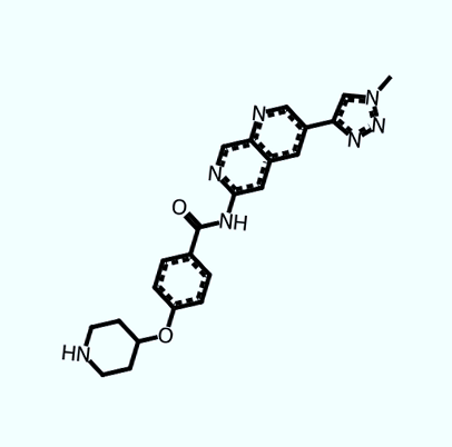 Cn1cc(-c2cnc3cnc(NC(=O)c4ccc(OC5CCNCC5)cc4)cc3c2)nn1